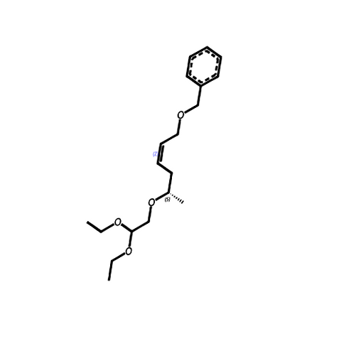 CCOC(CO[C@@H](C)C/C=C\COCc1ccccc1)OCC